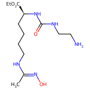 CCOC(=O)[C@H](CCCCNC(C)=NO)NC(=O)NCCN